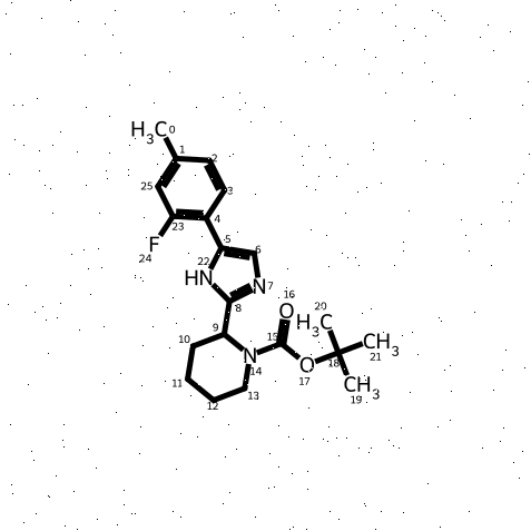 Cc1ccc(-c2cnc(C3CCCCN3C(=O)OC(C)(C)C)[nH]2)c(F)c1